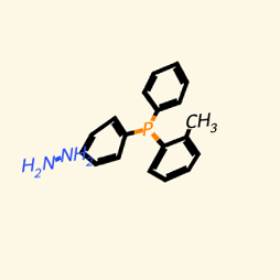 Cc1ccccc1P(c1ccccc1)c1ccccc1.NN